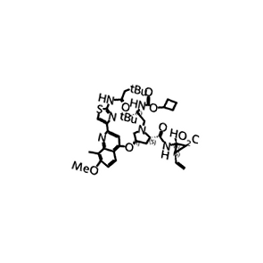 C=C[C@@H]1C[C@]1(NC(=O)[C@@H]1C[C@@H](Oc2cc(-c3csc(NC(=O)CC(C)(C)C)n3)nc3c(C)c(OC)ccc23)CN1C[C@@H](NC(=O)OC1CCC1)C(C)(C)C)C(=O)O